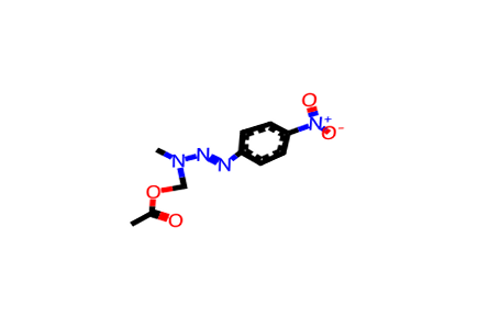 CC(=O)OCN(C)/N=N/c1ccc([N+](=O)[O-])cc1